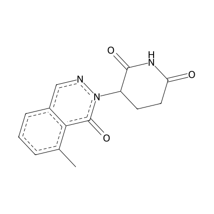 Cc1cccc2cnn(C3CCC(=O)NC3=O)c(=O)c12